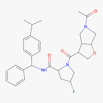 CC(=O)N1CC2OCC(C(=O)N3CC(F)CC3C(=O)NC(c3ccccc3)c3ccc(C(C)C)cc3)C2C1